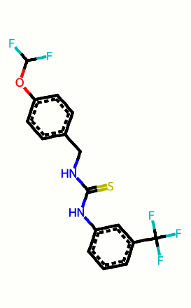 FC(F)Oc1ccc(CNC(=S)Nc2cccc(C(F)(F)F)c2)cc1